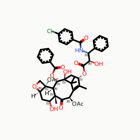 CC(=O)O[C@H]1C(=O)[C@@]2(C)[C@H]([C@H](OC(=O)c3ccccc3)[C@]3(O)C[C@H](OC(=O)[C@H](O)[C@@H](NC(=O)c4ccc(Cl)cc4)c4ccccc4)C(C)=C1C3(C)C)[C@]1(OC(C)=O)CO[C@@H]1C[C@@H]2O